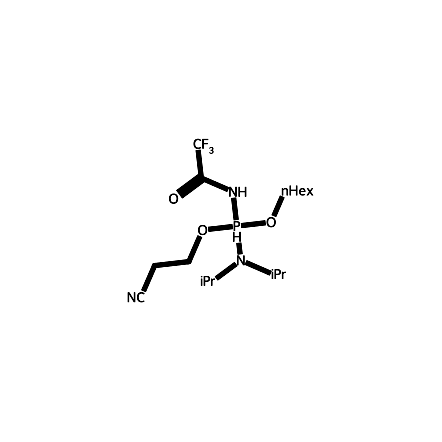 CCCCCCO[PH](NC(=O)C(F)(F)F)(OCCC#N)N(C(C)C)C(C)C